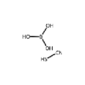 N#CS.OB(O)O